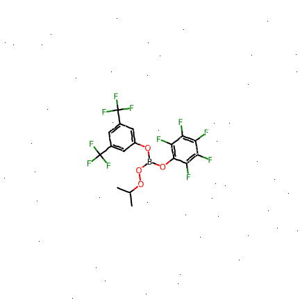 CC(C)OOB(Oc1cc(C(F)(F)F)cc(C(F)(F)F)c1)Oc1c(F)c(F)c(F)c(F)c1F